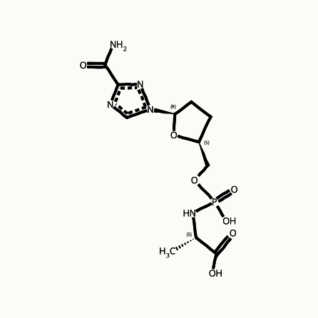 C[C@H](NP(=O)(O)OC[C@@H]1CC[C@H](n2cnc(C(N)=O)n2)O1)C(=O)O